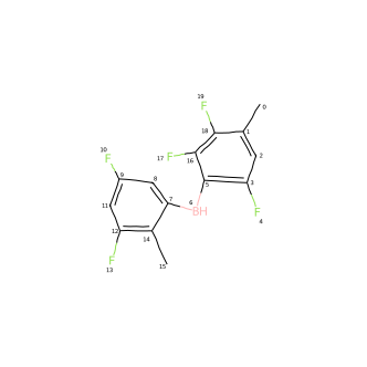 Cc1cc(F)c(Bc2cc(F)cc(F)c2C)c(F)c1F